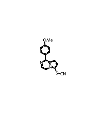 COc1ccc(-c2nccn3c(SC#N)ccc23)cc1